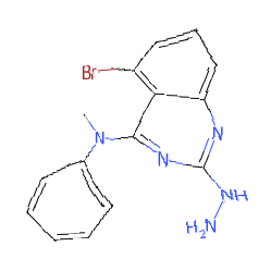 CN(c1ccccc1)c1nc(NN)nc2cccc(Br)c12